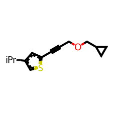 CC(C)c1csc(C#CCOCC2CC2)c1